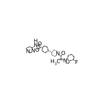 C[C@H](C(=O)N1CCC(c2ccc(S(=O)(=O)Nc3ccncn3)cc2)CC1)n1ccc2c(F)cccc21